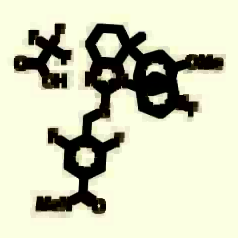 CNC(=O)c1cc(F)c(CSc2nc3c(n2-c2ccc(F)cc2)C(C)(c2ccc(Cl)c(OC)c2)CCC3)c(F)c1.O=C(O)C(F)(F)F